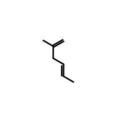 C=C(C)C/C=[C]/C